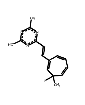 CC1(I)C=CC=CC(/C=C/c2nc(O)nc(O)n2)=C1